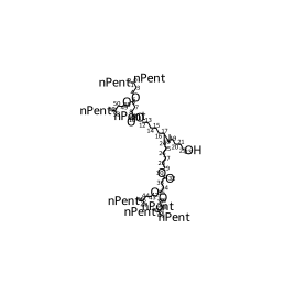 CCCCCC(CCCCC)CCOC(CCC(=O)OCCCCCCN(CCCCO)CCCCCCOC(=O)CCC(OCCC(CCCCC)CCCCC)OCCC(CCCCC)CCCCC)OCCC(CCCCC)CCCCC